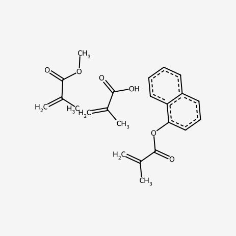 C=C(C)C(=O)O.C=C(C)C(=O)OC.C=C(C)C(=O)Oc1cccc2ccccc12